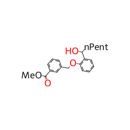 CCCCCC(O)c1ccccc1OCc1cccc(C(=O)OC)c1